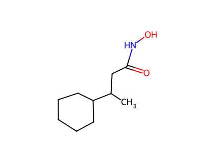 CC(CC(=O)NO)C1CCCCC1